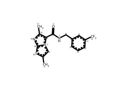 Cc1cn2c(C(=O)NCc3cccc(C(F)(F)F)c3)c(C)nc2s1